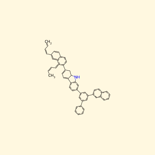 C=C/C=C\C1=C=c2c(ccc(C3=CC=C4c5ccc(-c6cc(-c7ccccc7)cc(-c7ccc8ccccc8c7)c6)cc5NC4C3)/c2=C/C=C\C)C=C1